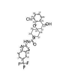 O=C(Nc1nc2ccc(C(F)(F)F)cc2s1)N1CCC2(CC1)CC(O)c1cccc(Cl)c1O2